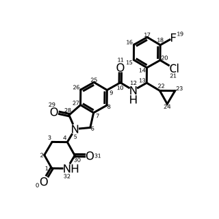 O=C1CCC(N2Cc3cc(C(=O)NC(c4cccc(F)c4Cl)C4CC4)ccc3C2=O)C(=O)N1